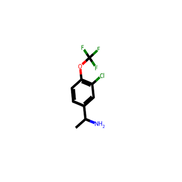 CC(N)c1ccc(OC(F)(F)F)c(Cl)c1